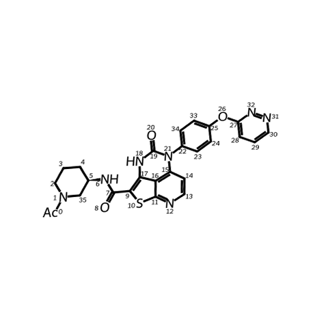 CC(=O)N1CCC[C@@H](NC(=O)c2sc3nccc4c3c2NC(=O)N4c2ccc(Oc3cccnn3)cc2)C1